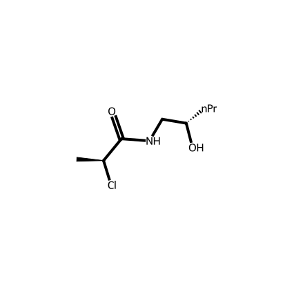 CCC[C@H](O)CNC(=O)[C@H](C)Cl